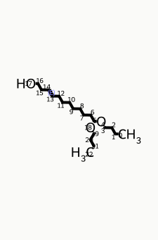 CCCCOC(CCCCCCC/C=C/CCO)OCCCC